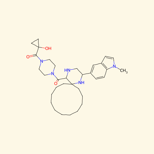 Cn1ccc2cc(C3CNC(C(=O)N4CCN(C(=O)C5(O)CC5)CC4)C4(CCCCCCCCCCC4)N3)ccc21